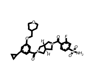 NS(=O)(=O)c1ccc(C(=O)N2C[C@H]3CN(C(=O)c4cc(OCC5CCOCC5)cc(C5CC5)c4)C[C@@H]3C2)c(F)c1